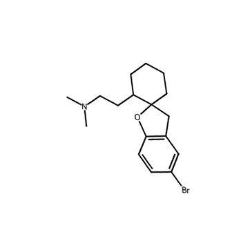 CN(C)CCC1CCCCC12Cc1cc(Br)ccc1O2